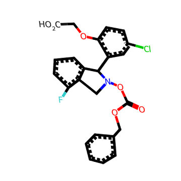 O=C(O)COc1ccc(Cl)cc1C1c2cccc(F)c2CN1OC(=O)OCc1ccccc1